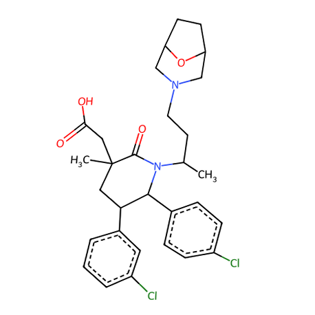 CC(CCN1CC2CCC(C1)O2)N1C(=O)C(C)(CC(=O)O)CC(c2cccc(Cl)c2)C1c1ccc(Cl)cc1